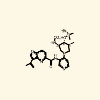 C=C(C)c1coc2ccc(C(=O)Nc3cnccc3N3C[C@H](C)[C@@H](O[Si](C)(C)C(C)(C)C)[C@H](NC(=O)O)C3)nc12